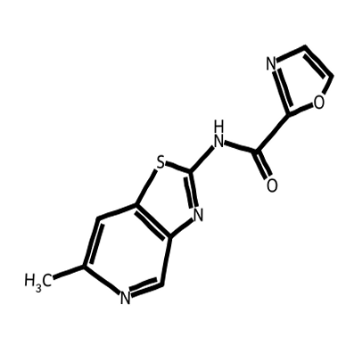 Cc1cc2sc(NC(=O)c3ncco3)nc2cn1